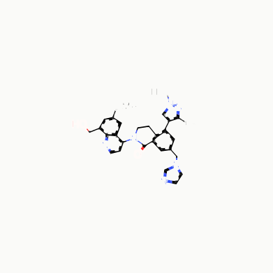 COc1cc(CO)c2nccc(N3CCc4c(cc(Cn5ccnc5)cc4-c4cn(C)nc4C(F)(F)F)C3=O)c2c1